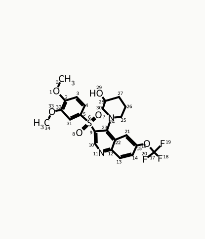 COc1ccc(S(=O)(=O)c2cnc3ccc(OC(F)(F)F)cc3c2N2CCCC(O)C2)cc1OC